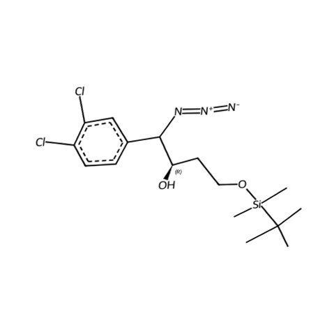 CC(C)(C)[Si](C)(C)OCC[C@@H](O)C(N=[N+]=[N-])c1ccc(Cl)c(Cl)c1